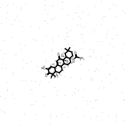 CC1(C)CC[C@@]2(NC(N)=O)CC[C@]3(C)[C@H](C(=O)C=C4[C@]5(C)C=C(C#N)C(=O)C(C)(C)[C@@H]5CC[C@@]43C)[C@H]2C1